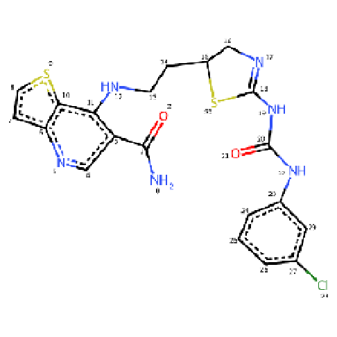 NC(=O)c1cnc2ccsc2c1NCCC1CN=C(NC(=O)Nc2cccc(Cl)c2)S1